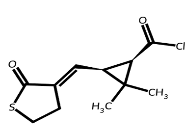 CC1(C)[C@H](C(=O)Cl)[C@@H]1C=C1CCSC1=O